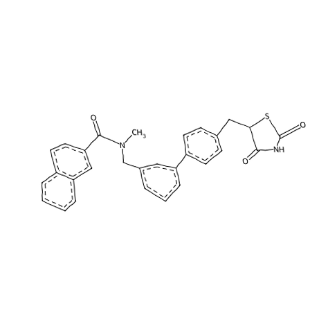 CN(Cc1cccc(-c2ccc(CC3SC(=O)NC3=O)cc2)c1)C(=O)c1ccc2ccccc2c1